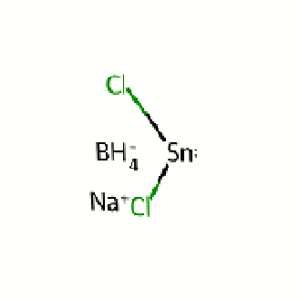 [BH4-].[Cl][Sn][Cl].[Na+]